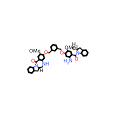 COc1cc(C(=O)N2c3ccccc3C[C@H]2C)c(N)cc1OCc1cccc(COc2cc3c(cc2OC)C(=O)N2c4ccccc4C[C@H]2CN3)c1